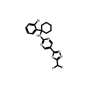 FC(F)c1nnc(-c2cnc(NC3(c4ccccc4Br)CCCCC3)nc2)o1